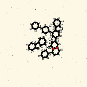 c1ccc(-c2ccc(-c3c4oc5c(N(c6ccccc6-c6ccccc6)c6cccc7c6sc6ccccc67)cccc5c4cc4oc5ccccc5c34)cc2)cc1